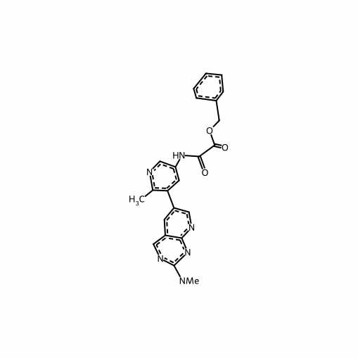 CNc1ncc2cc(-c3cc(NC(=O)C(=O)OCc4ccccc4)cnc3C)cnc2n1